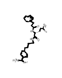 N=C(N)c1ccc(CCCCNC(=O)[C@@H](CCC(=O)O)NC(=O)CCc2ccccc2)cc1